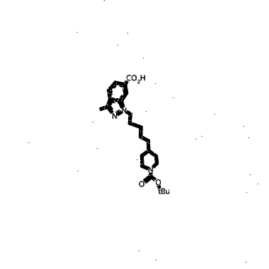 Cc1nn(CCCCCC2CCN(C(=O)OC(C)(C)C)CC2)c2cc(C(=O)O)ccc12